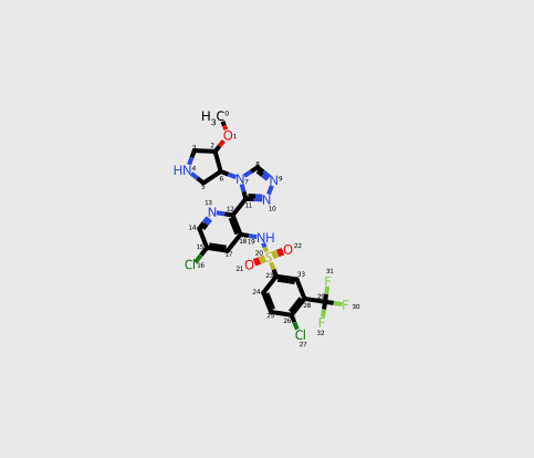 COC1CNCC1n1cnnc1-c1ncc(Cl)cc1NS(=O)(=O)c1ccc(Cl)c(C(F)(F)F)c1